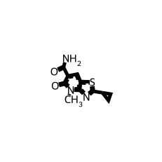 Cn1c(=O)c(C(N)=O)cc2sc(C3CC3)nc21